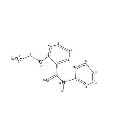 CCOC(=O)COc1ccccc1C(=O)N(C)c1ccccc1